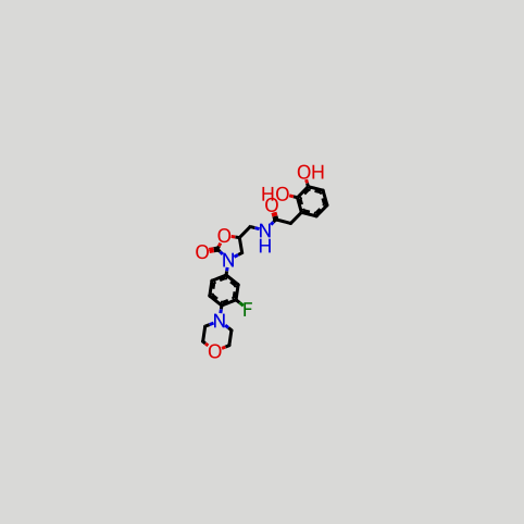 O=C(Cc1cccc(O)c1O)NCC1CN(c2ccc(N3CCOCC3)c(F)c2)C(=O)O1